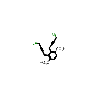 O=C(O)c1ccc(C(=O)O)c(CC#CCCl)c1CC#CCCl